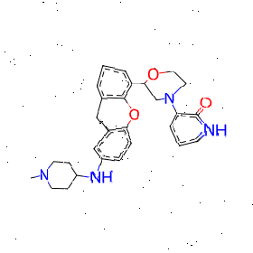 CN1CCC(Nc2ccc3c(c2)Cc2cccc(C4CN(c5ccc[nH]c5=O)CCO4)c2O3)CC1